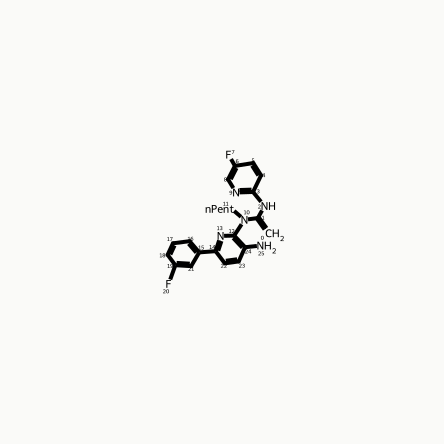 C=C(Nc1ccc(F)cn1)N(CCCCC)c1nc(-c2cccc(F)c2)ccc1N